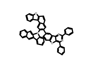 c1ccc(-c2nc(-c3ccccc3)c3oc4ccc(-c5cc6ccc7oc8ccccc8c7c6cc5-n5c6ccccc6c6cc7ccccc7cc65)cc4c3n2)cc1